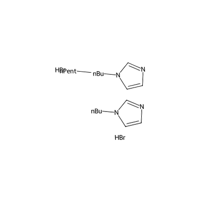 Br.Br.CCCCCC.CCCCn1ccnc1.CCCCn1ccnc1